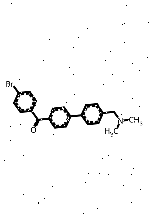 CN(C)Cc1ccc(-c2ccc(C(=O)c3ccc(Br)cc3)cc2)cc1